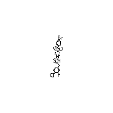 O=S(=O)(c1ccc(Br)cc1)C1CCN(c2nc(Cc3ccc(Cl)c(F)c3)cs2)CC1